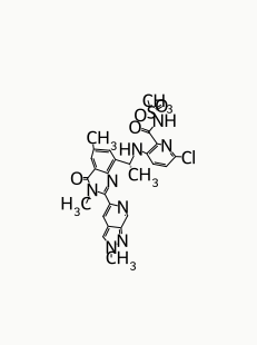 Cc1cc([C@@H](C)Nc2ccc(Cl)nc2C(=O)NS(C)(=O)=O)c2nc(-c3cc4cn(C)nc4cn3)n(C)c(=O)c2c1